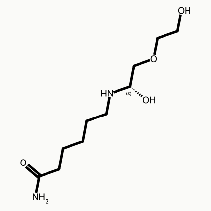 NC(=O)CCCCCN[C@@H](O)COCCO